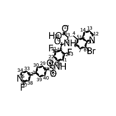 O=C(N[C@@H](Cc1ccc(Br)c2ncccc12)C(=O)O)c1c(F)cc(NS(=O)(=O)c2ccc(-c3ccnc(F)c3)cc2)cc1F